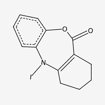 O=C1Oc2ccccc2N(I)C2=C1CCCC2